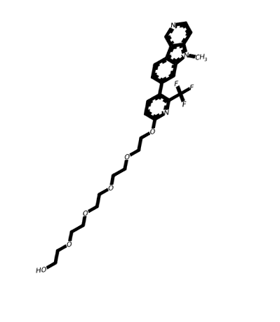 Cn1c2ccncc2c2ccc(-c3ccc(OCCOCCOCCOCCOCCO)nc3C(F)(F)F)cc21